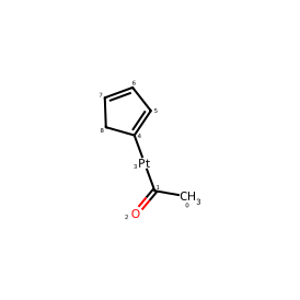 C[C](=O)[Pt][C]1=CC=CC1